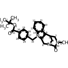 CN1CC2CN(Cc3c2c2ccccc2n3Cc2ccc(C(=O)OC(C)(C)C)cc2)C1=O